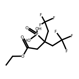 CCOC(=O)CC(CC(F)(F)F)(CC(F)(F)F)P(=O)(O)O